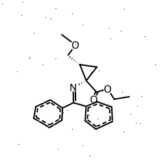 CCOC(=O)[C@]1(N=C(c2ccccc2)c2ccccc2)C[C@H]1COC